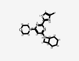 Cc1csc(-c2nc(N3CCOCC3)cc(N3CC4CCCCC43)n2)n1